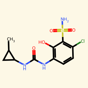 CC1CC1NC(=O)Nc1ccc(Cl)c(S(N)(=O)=O)c1O